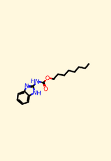 CCCCCCCCOC(=O)Nc1nc2ccccc2[nH]1